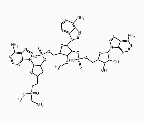 CCP(=O)(CCC1CC(OP(O)(=S)OCC2OC(n3cnc4c(N)ncnc43)C(OP(O)(=S)OCC3OC(n4cnc5c(N)ncnc54)C(O)C3O)C2OC)C(n2cnc3c(N)ncnc32)O1)OC